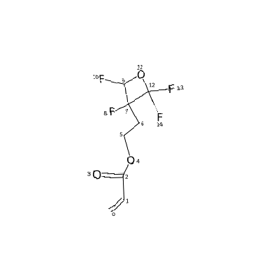 C=CC(=O)OCCC1(F)C(F)OC1(F)F